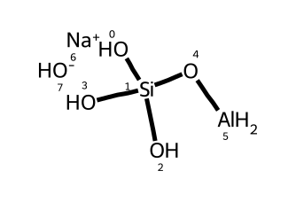 O[Si](O)(O)[O][AlH2].[Na+].[OH-]